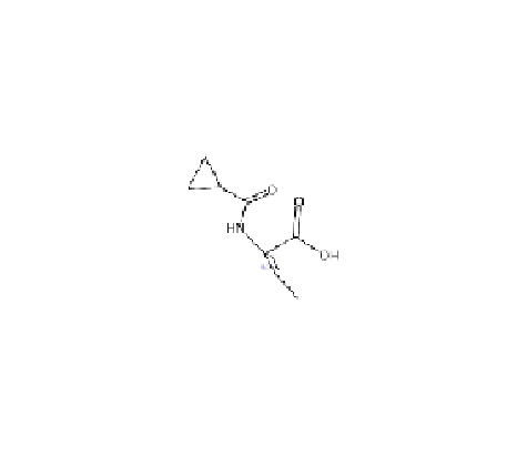 C/C=C(/NC(=O)C1CC1)C(=O)O